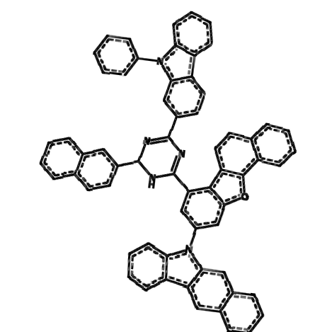 c1ccc(-n2c3ccccc3c3ccc(C4=NC(c5ccc6ccccc6c5)NC(c5cc(-n6c7ccccc7c7cc8ccccc8cc76)cc6oc7c8ccccc8ccc7c56)=N4)cc32)cc1